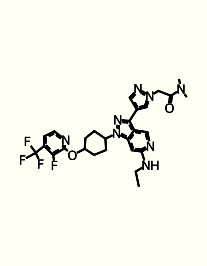 CCNc1cc2c(cn1)c(-c1cnn(CC(=O)N(C)C)c1)nn2C1CCC(Oc2nccc(C(F)(F)F)c2F)CC1